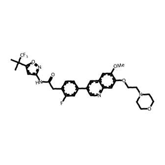 COc1cc2cc(-c3ccc(CC(=O)Nc4cc(C(C)(C)C(F)(F)F)on4)c(F)c3)cnc2cc1OCCN1CCOCC1